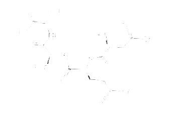 C[C@H](NC(=O)[C@H](C)NC(=O)[C@H](CCC(=O)O)NC(=O)[C@@H](N)CC(=O)O)C(=O)O